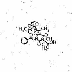 Cc1c(-c2ncco2)sc2c1c(=O)n(C(C)(C)C(=O)O)c(=O)n2C[C@H](OCC(C)(C)C)c1ccccc1